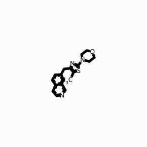 Cc1sc(N2CCOCC2)nc1Cc1ccc2ccncc2c1